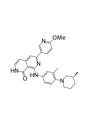 COc1ccc(-c2cc3cc[nH]c(=O)c3c(Nc3ccc(N4CCC[C@H](C)C4)c(C)c3)n2)cn1